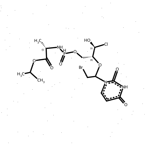 CC(C)OC(=O)[C@H](C)N[PH](=O)OC[C@@H](OC(CBr)n1ccc(=O)[nH]c1=O)[C@@H](O)Cl